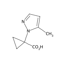 Cc1ccnn1C1(C(=O)O)CC1